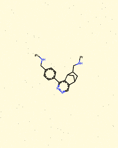 CC(C)NCc1ccc(-c2nncc3c2C2CC3CC2CNC(C)C)cc1